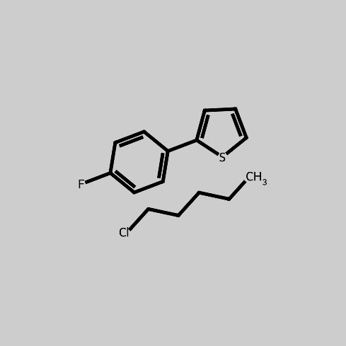 CCCCCCl.Fc1ccc(-c2cccs2)cc1